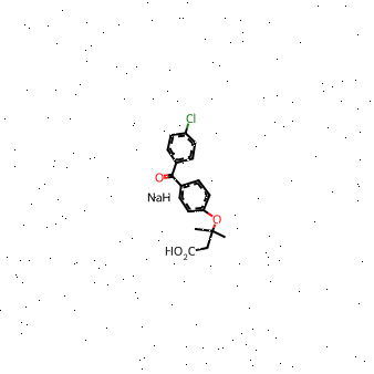 CC(C)(CC(=O)O)Oc1ccc(C(=O)c2ccc(Cl)cc2)cc1.[NaH]